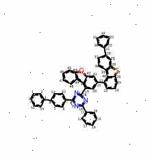 c1ccc(-c2ccc(-c3nc(-c4ccccc4)nc(-c4cc(-c5cccc6sc7cc(-c8ccccc8)ccc7c56)cc5oc6ccccc6c45)n3)cc2)cc1